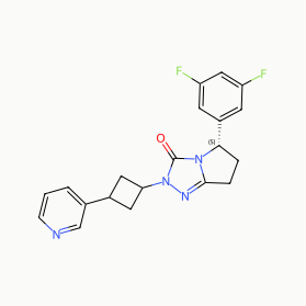 O=c1n(C2CC(c3cccnc3)C2)nc2n1[C@H](c1cc(F)cc(F)c1)CC2